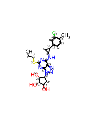 CCCSc1nc(NC2CC2c2ccc(C)c(Cl)c2)c2nnn([C@H]3C[C@@H](O)[C@H](O)[C@@H]3O)c2n1